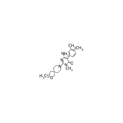 Cc1ccc(-c2c(N)nc(N3CCC4(CC3)CO[C@@H](C)C4)n(C)c2=O)cc1C